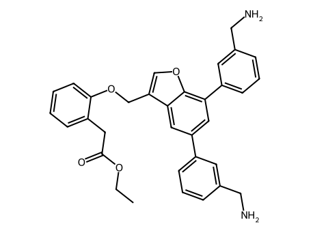 CCOC(=O)Cc1ccccc1OCc1coc2c(-c3cccc(CN)c3)cc(-c3cccc(CN)c3)cc12